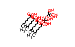 CCCCCCCC(=O)O.CCCCCCCC(=O)O.CCCCCCCC(=O)O.CCCCCCCC(=O)O.OCC(CO)(CO)COCC(CO)(CO)CO